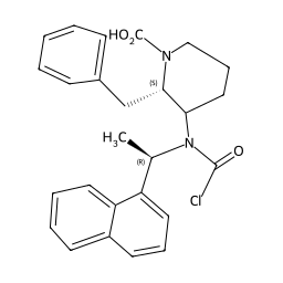 C[C@H](c1cccc2ccccc12)N(C(=O)Cl)C1CCCN(C(=O)O)[C@H]1Cc1ccccc1